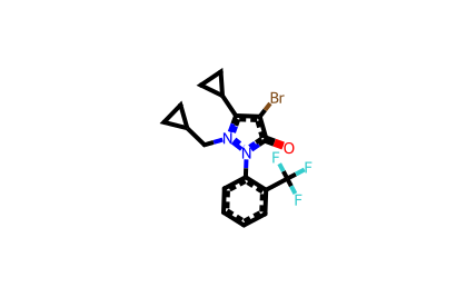 O=c1c(Br)c(C2CC2)n(CC2CC2)n1-c1ccccc1C(F)(F)F